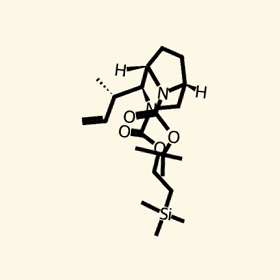 C=C[C@H](C)[C@H]1[C@@H]2CC[C@H](CN1C(=O)OCC[Si](C)(C)C)N2C(=O)OC(C)(C)C